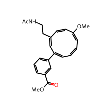 COC(=O)c1cccc(-c2ccccc(OC)ccc(CCNC(C)=O)c2)c1